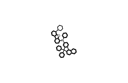 c1ccc(N(c2ccc3c(c2)C(c2ccccc2)(c2ccccc2)c2ccc4ccccc4c2-3)c2cccc3c2oc2c(C4CCCCC4)cccc23)cc1